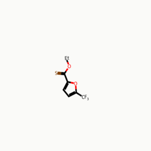 CCOC(=S)c1ccc(C(F)(F)F)o1